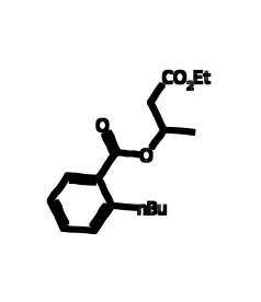 CCCCc1ccccc1C(=O)OC(C)CC(=O)OCC